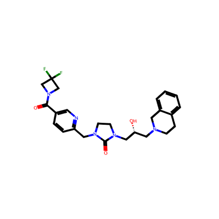 O=C(c1ccc(CN2CCN(C[C@H](O)CN3CCc4ccccc4C3)C2=O)nc1)N1CC(F)(F)C1